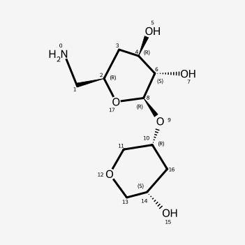 NC[C@H]1C[C@@H](O)[C@H](O)[C@@H](O[C@H]2COC[C@@H](O)C2)O1